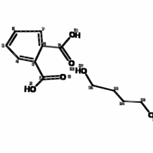 O=C(O)c1ccccc1C(=O)O.OCCCCO